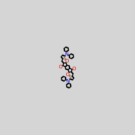 O=C1C(=Cc2ccc(N(c3ccccc3)c3ccccc3)s2)C(=O)c2cc3c(cc21)C(=O)C(=Cc1ccc(N(c2ccccc2)c2ccccc2)s1)C3=O